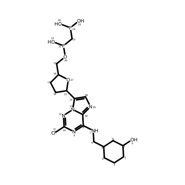 OC1CCCC(CNc2nc(Cl)nn3c(C4CCC(COP(O)CP(O)O)O4)cnc23)C1